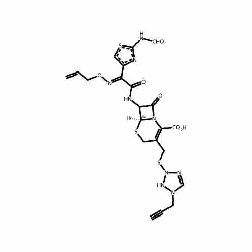 C#CCN1C=NN(SCC2=C(C(=O)O)N3C(=O)C(NC(=O)C(=NOCC=C)c4csc(NC=O)n4)[C@@H]3SC2)N1